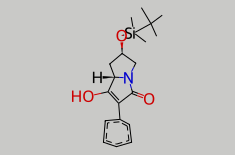 CC(C)(C)[Si](C)(C)O[C@@H]1C[C@H]2C(O)=C(c3ccccc3)C(=O)N2C1